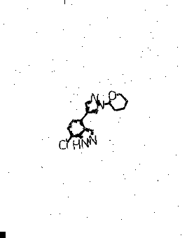 Clc1ccc(-c2cnn(C3CCCCO3)c2)c2cn[nH]c12